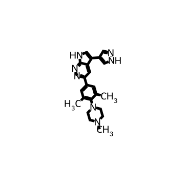 Cc1cc(-c2cc3c(-c4cn[nH]c4)c[nH]c3nn2)cc(C)c1N1CCN(C)CC1